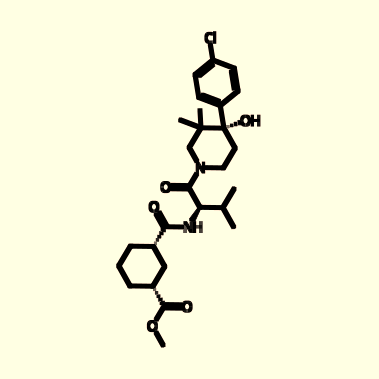 COC(=O)[C@@H]1CCC[C@H](C(=O)N[C@@H](C(=O)N2CC[C@](O)(c3ccc(Cl)cc3)C(C)(C)C2)C(C)C)C1